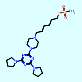 CS(=O)(=O)OCCCCCCN1CCN(c2nc(N3CCCC3)nc(N3CCCC3)n2)CC1